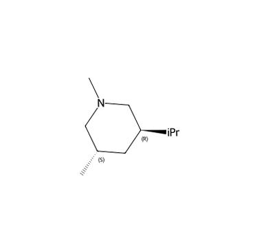 CC(C)[C@H]1C[C@H](C)CN(C)C1